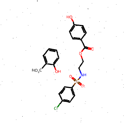 O=C(O)c1ccccc1O.O=C(OCCNS(=O)(=O)c1ccc(Cl)cc1)c1ccc(O)cc1